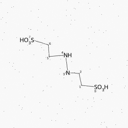 O=S(=O)(O)CC[N]NCCS(=O)(=O)O